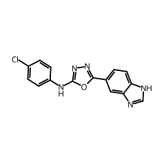 Clc1ccc(Nc2nnc(-c3ccc4[nH]cnc4c3)o2)cc1